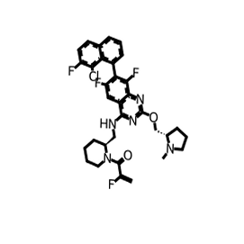 C=C(F)C(=O)N1CCCC[C@H]1CNc1nc(OC[C@@H]2CCCN2C)nc2c(F)c(-c3cccc4ccc(F)c(Cl)c34)c(F)cc12